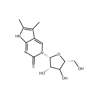 Cc1[nH]c2nc(=S)n([C@@H]3O[C@H](CO)C(O)[C@@H]3O)cc2c1C